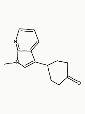 Cn1cc(C2CCC(=O)CC2)c2cccnc21